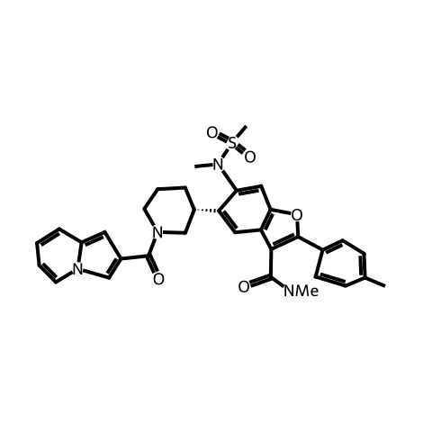 CNC(=O)c1c(-c2ccc(C)cc2)oc2cc(N(C)S(C)(=O)=O)c([C@H]3CCCN(C(=O)c4cc5ccccn5c4)C3)cc12